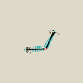 FC(F)(F)C(F)(C(F)(F)F)C(F)(Br)C(F)(F)C(F)(F)C(F)(F)C(F)(F)C(F)(F)C(F)(F)C(F)(F)C(F)(F)OC(F)(F)C(F)(F)C(F)(F)C(F)(F)C(F)(F)C(F)(F)C(F)(F)C(F)(F)C(F)(Br)C(F)(C(F)(F)F)C(F)(F)F